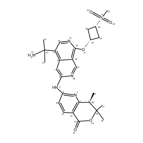 C[C@@H]1c2nc(Nc3cc4c(C(C)(C)N)cnc(O[C@H]5C[C@@H](S(C)(=O)=O)C5)c4cn3)ccc2C(=O)OC1(C)C